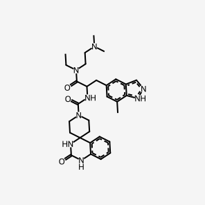 CCN(CCN(C)C)C(=O)C(Cc1cc(C)c2[nH]ncc2c1)NC(=O)N1CCC2(CC1)NC(=O)Nc1ccccc12